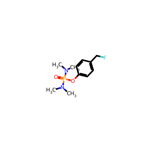 CN(C)P(=O)(Oc1ccc(CF)cc1)N(C)C